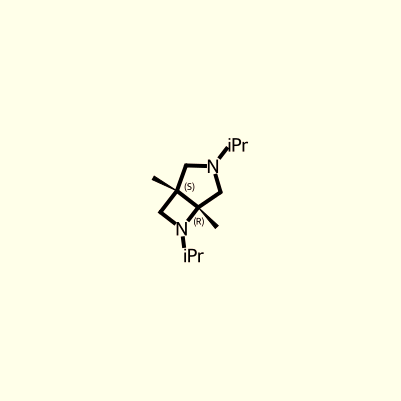 CC(C)N1C[C@@]2(C)CN(C(C)C)[C@@]2(C)C1